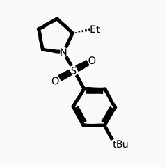 CC[C@H]1CCCN1S(=O)(=O)c1ccc(C(C)(C)C)cc1